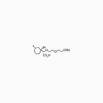 COCCOCCO[C@H](C(=O)O)C1(C(C)C)CCC[C@@H](C)C1